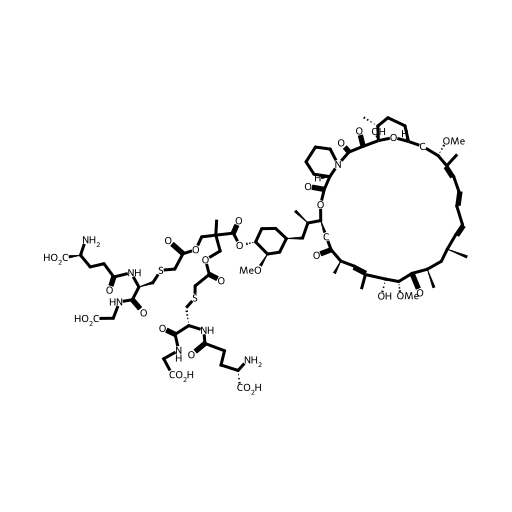 CO[C@H]1C[C@@H]2CC[C@@H](C)[C@@](O)(O2)C(=O)C(=O)N2CCCC[C@H]2C(=O)O[C@H]([C@H](C)C[C@@H]2CC[C@@H](OC(=O)C(C)(COC(=O)CSC[C@H](NC(=O)CC[C@H](N)C(=O)O)C(=O)NCC(=O)O)COC(=O)CSC[C@H](NC(=O)CC[C@H](N)C(=O)O)C(=O)NCC(=O)O)[C@H](OC)C2)CC(=O)[C@H](C)/C=C(\C)[C@@H](O)[C@@H](OC)C(=O)[C@H](C)C[C@H](C)/C=C/C=C/C=C/1C